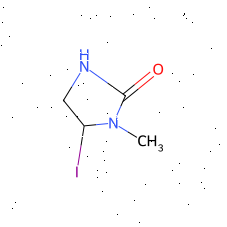 CN1C(=O)NCC1I